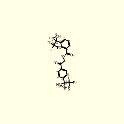 O=C(COC(=O)c1cccc(C2(C(F)(F)F)NN2)c1)c1ccc(C2(C(F)(F)F)NN2)cc1